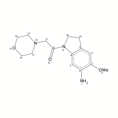 COc1cc2c(cc1N)N(C(=O)CN1CCOCC1)CC2